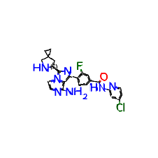 Nc1nccn2c([C@@H]3CC4(CC4)CN3)nc(-c3ccc(C(=O)Nc4cc(Cl)ccn4)cc3F)c12